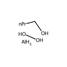 CCCCO.OO.[AlH3]